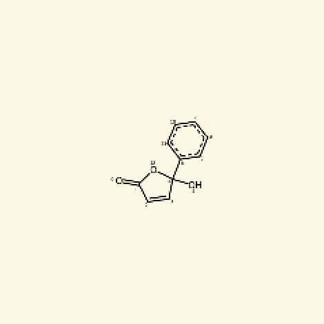 O=C1C=CC(O)(c2ccccc2)O1